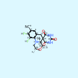 C[C@@H]1CN2c3c(cc(C#N)c(F)c3F)CC3(C(=O)NC(=O)NC3=O)[C@H]2[C@H](C)O1